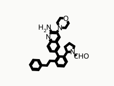 Nc1nc2ccc(-c3c(CCc4ccccc4)cccc3C3CCCN3C=O)cc2cc1N1CCOCC1